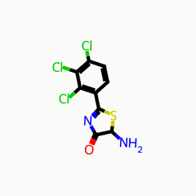 NC1SC(c2ccc(Cl)c(Cl)c2Cl)=NC1=O